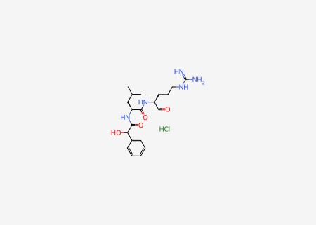 CC(C)C[C@H](NC(=O)C(O)c1ccccc1)C(=O)N[C@H](C=O)CCCNC(=N)N.Cl